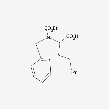 CCOC(=O)N(Cc1ccccc1)C(CCC(C)C)C(=O)O